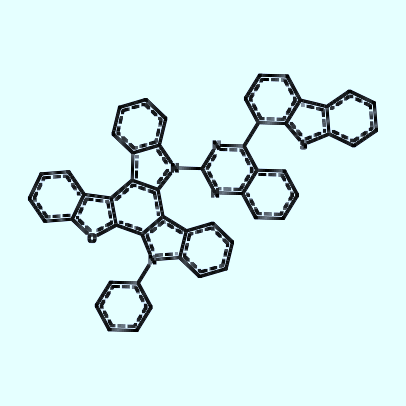 c1ccc(-n2c3ccccc3c3c2c2oc4ccccc4c2c2c4ccccc4n(-c4nc(-c5cccc6c5sc5ccccc56)c5ccccc5n4)c23)cc1